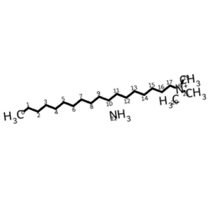 CCCCCCCCCCCCCCCCCC[N+](C)(C)C.N